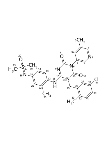 Cc1cncc(-n2c(=O)nc(Nc3ccc(N=S(C)(C)=O)cc3C)n(Cc3cc(Cl)ccc3C)c2=O)c1